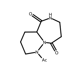 CC(=O)N1CCCC2C(=O)NCCC(=O)N21